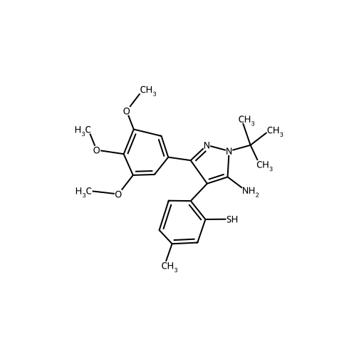 COc1cc(-c2nn(C(C)(C)C)c(N)c2-c2ccc(C)cc2S)cc(OC)c1OC